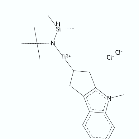 Cn1c2c(c3ccccc31)C[CH]([Ti+2][N]([SiH](C)C)C(C)(C)C)C2.[Cl-].[Cl-]